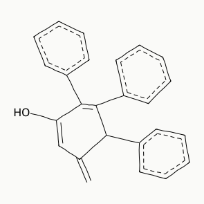 C=C1C=C(O)C(c2ccccc2)=C(c2ccccc2)C1c1ccccc1